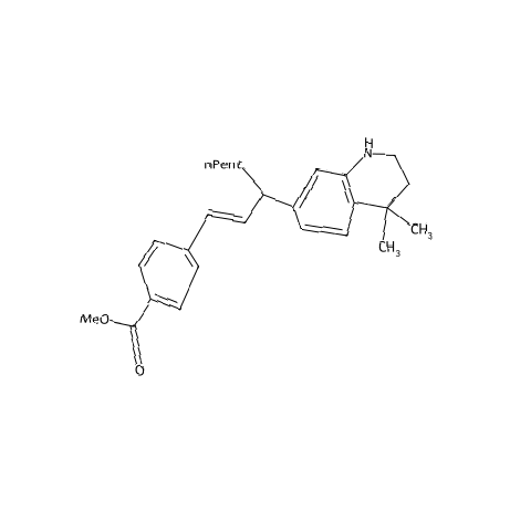 CCCCCC(/C=C/c1ccc(C(=O)OC)cc1)c1ccc2c(c1)NCCC2(C)C